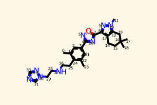 Cc1cc(-c2noc(-c3nn(C)c4c3CCC(C)(C)C4)n2)cc(C)c1CCNCCn1cncn1